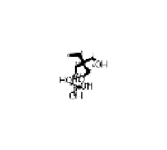 CCC(CO)(CO)CO.OB(O)O